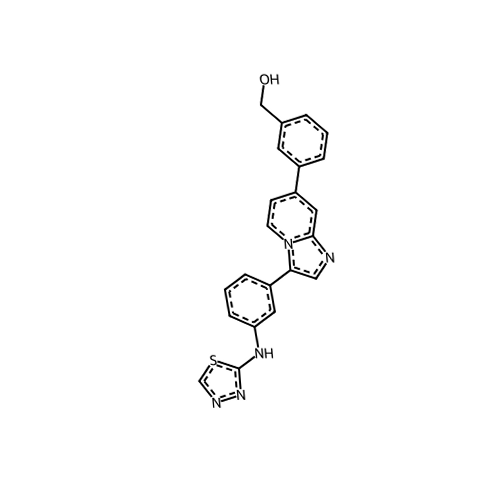 OCc1cccc(-c2ccn3c(-c4cccc(Nc5nncs5)c4)cnc3c2)c1